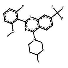 COc1cccc(F)c1-c1nc(N2CCC(C)CC2)c2ccc(C(F)(F)F)cc2n1